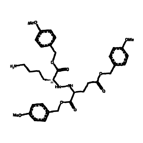 COc1ccc(COC(=O)CCC(NN[C@H](CCCCN)C(=O)OCc2ccc(OC)cc2)C(=O)OCc2ccc(OC)cc2)cc1